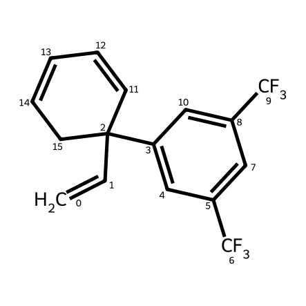 C=CC1(c2cc(C(F)(F)F)cc(C(F)(F)F)c2)C=CC=CC1